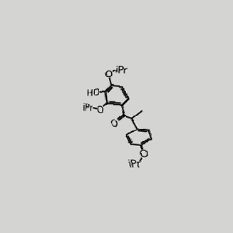 CC(C)Oc1ccc(C(C)C(=O)c2ccc(OC(C)C)c(O)c2OC(C)C)cc1